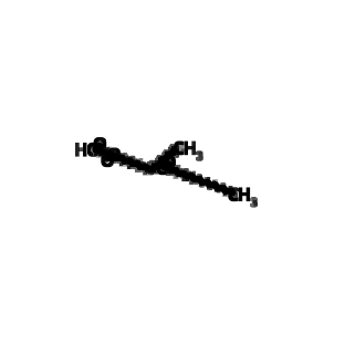 CCCCCCCCCCCCCCCCCC(=O)O[C@@H](C/C=C\CCCCCCCCOC(=O)CCC(=O)O)CCCCCC